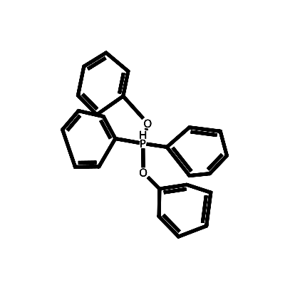 c1ccc(O[PH](Oc2ccccc2)(c2ccccc2)c2ccccc2)cc1